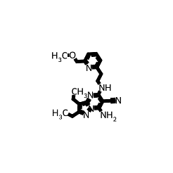 CCc1nn2c(N)c(C#N)c(NCCc3cccc(COC)n3)nc2c1CC